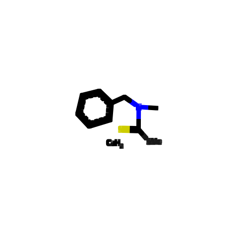 CSC(=S)N(C)Cc1ccccc1.[CaH2]